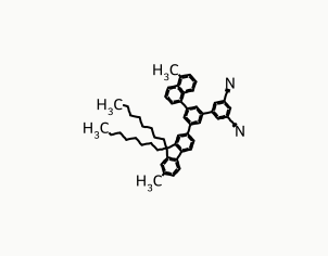 CCCCCCCCC1(CCCCCCCC)c2cc(C)ccc2-c2ccc(-c3cc(-c4cc(C#N)cc(C#N)c4)cc(-c4cccc5c(C)cccc45)c3)cc21